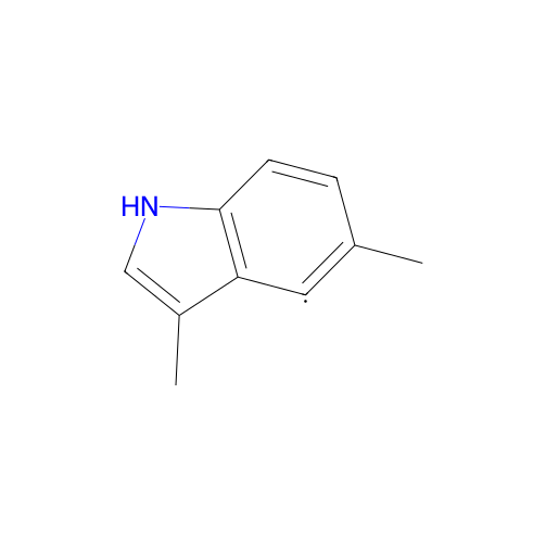 Cc1[c]c2c(C)c[nH]c2cc1